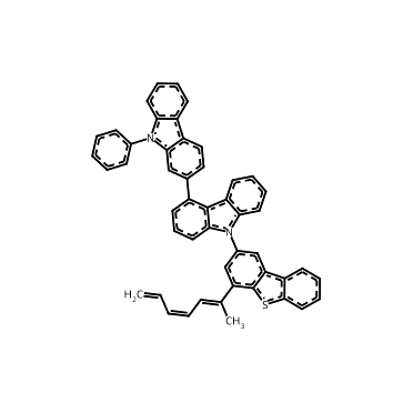 C=C/C=C\C=C(/C)c1cc(-n2c3ccccc3c3c(-c4ccc5c6ccccc6n(-c6ccccc6)c5c4)cccc32)cc2c1sc1ccccc12